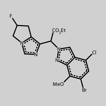 CCOC(=O)C(c1ncn2c1CC(F)C2)n1cc2c(Cl)cc(Br)c(OC)c2n1